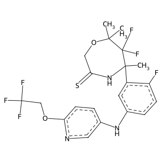 CC1(C)OCC(=S)NC(C)(c2cc(Nc3ccc(OCC(F)(F)F)nc3)ccc2F)C1(F)F